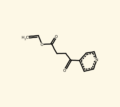 C=COC(=O)CCC(=O)c1ccncc1